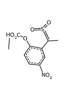 CC.CC(c1cc([N+](=O)[O-])ccc1OC(=O)O)=S(=O)=O